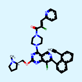 C#Cc1cccc2cccc(-c3ncc4c(N5CCN(C(=O)C(F)=Cc6ccccn6)CC5)nc(OC[C@H]5CCCN5C)nc4c3F)c12